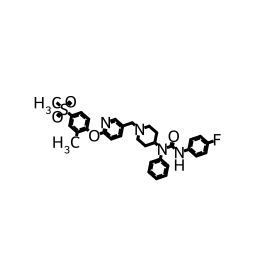 Cc1cc(S(C)(=O)=O)ccc1Oc1ccc(CN2CCC(N(C(=O)Nc3ccc(F)cc3)c3ccccc3)CC2)cn1